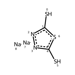 Sc1nnc(S)s1.[Na].[Na]